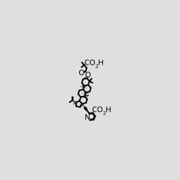 C=C(C)[C@@H]1CC[C@]2(C#Cc3ncccc3C(=O)O)CC[C@]3(C)C(CCC4[C@@]5(C)CC[C@H](OC(=O)CC(C)(C)C(=O)O)C(C)(C)C5CC[C@]43C)C12